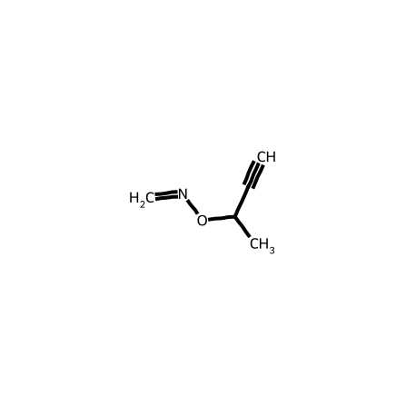 C#CC(C)ON=C